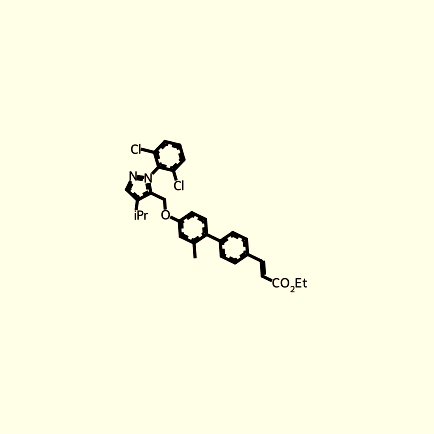 CCOC(=O)C=Cc1ccc(-c2ccc(OCc3c(C(C)C)cnn3-c3c(Cl)cccc3Cl)cc2C)cc1